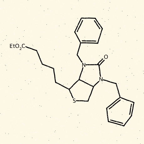 CCOC(=O)CCCCC1SCC2C1N(Cc1ccccc1)C(=O)N2Cc1ccccc1